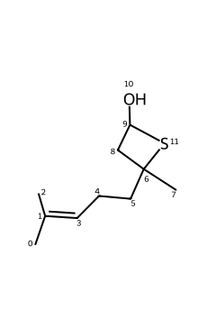 CC(C)=CCCC1(C)CC(O)S1